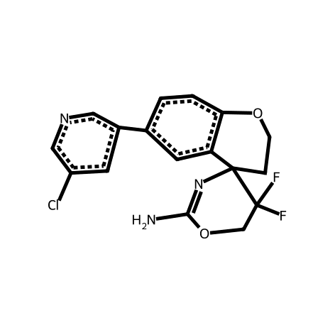 NC1=NC2(CCOc3ccc(-c4cncc(Cl)c4)cc32)C(F)(F)CO1